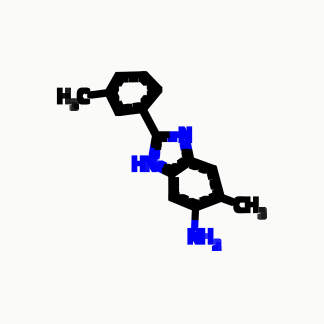 Cc1cccc(-c2nc3cc(C)c(N)cc3[nH]2)c1